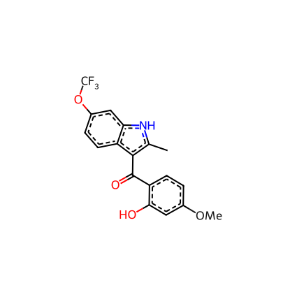 COc1ccc(C(=O)c2c(C)[nH]c3cc(OC(F)(F)F)ccc23)c(O)c1